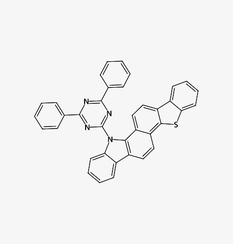 c1ccc(-c2nc(-c3ccccc3)nc(-n3c4ccccc4c4ccc5c(ccc6c7ccccc7sc65)c43)n2)cc1